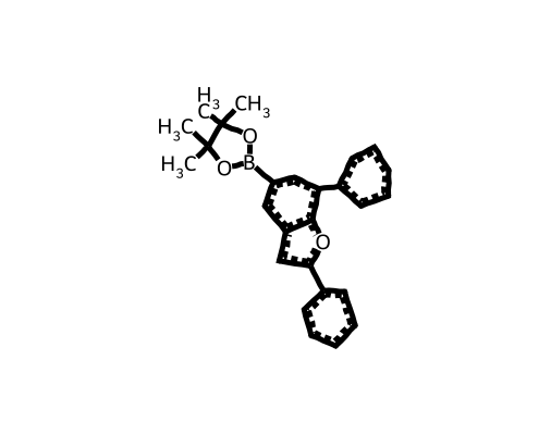 CC1(C)OB(c2cc(-c3ccccc3)c3oc(-c4ccccc4)cc3c2)OC1(C)C